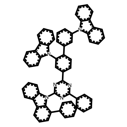 c1ccc(-c2nc(-c3ccc(-c4cccc(-n5c6ccccc6c6ccccc65)c4)c(-n4c5ccccc5c5ccccc54)c3)nc(-n3c4ccccc4c4cccc(-c5ccccc5)c43)n2)cc1